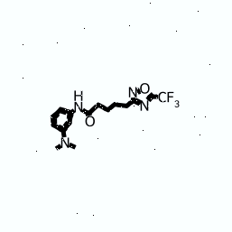 CN(C)c1cccc(NC(=O)CCCCc2noc(C(F)(F)F)n2)c1